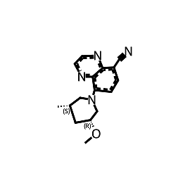 CO[C@@H]1C[C@H](C)CN(c2ccc(C#N)c3nccnc23)C1